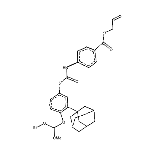 C=CCOC(=O)c1ccc(NC(=O)Sc2ccc(OC(OC)OCC)c(C34CC5CC(CC(C5)C3)C4)c2)cc1